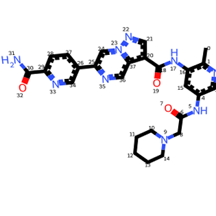 Cc1ncc(NC(=O)CN2CCCCC2)cc1NC(=O)c1cnn2cc(-c3ccc(C(N)=O)nc3)ncc12